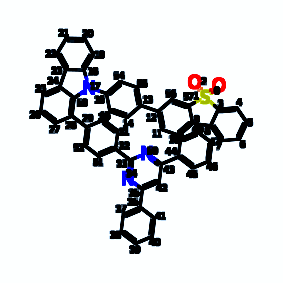 O=S1(=O)c2ccccc2-c2ccc(-c3ccc(-n4c5ccccc5c5cccc(-c6ccc(-c7nc(-c8ccccc8)cc(-c8ccccc8)n7)cc6)c54)cc3)cc21